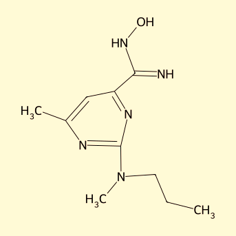 CCCN(C)c1nc(C)cc(C(=N)NO)n1